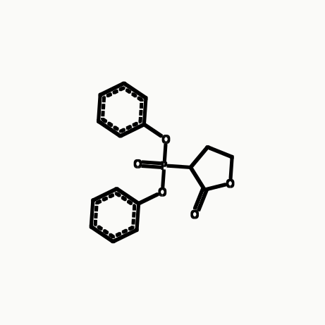 O=C1OCCC1P(=O)(Oc1ccccc1)Oc1ccccc1